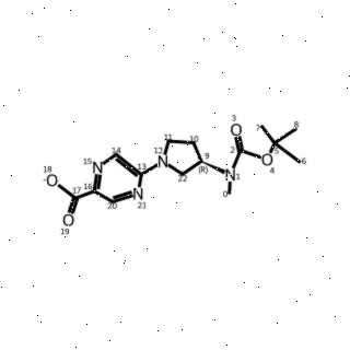 CN(C(=O)OC(C)(C)C)[C@@H]1CCN(c2cnc(C([O])=O)cn2)C1